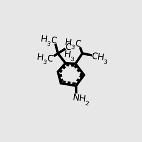 CC(C)c1cc(N)ccc1C(C)(C)C